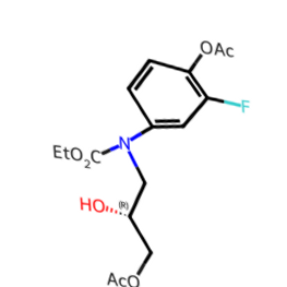 CCOC(=O)N(C[C@@H](O)COC(C)=O)c1ccc(OC(C)=O)c(F)c1